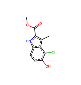 COC(=O)c1[nH]c2ccc(O)c(Cl)c2c1C